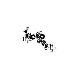 CC(C)N1CCN(C(=O)[C@H]2CCCC(F)(F)[C@@H]2NC(=O)N2CCC(C)(c3noc([C@@H]4C[C@@H]4F)n3)CC2)CC1